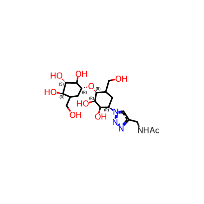 CC(=O)NCc1cn([C@@H]2CC(CO)[C@@H](O[C@@H]3CC(CO)[C@@H](O)[C@H](O)C3O)[C@H](O)C2O)nn1